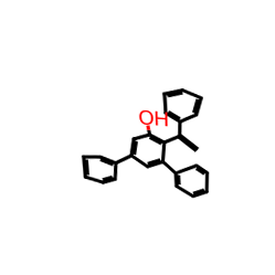 C=C(c1ccccc1)c1c(O)cc(-c2ccccc2)cc1-c1ccccc1